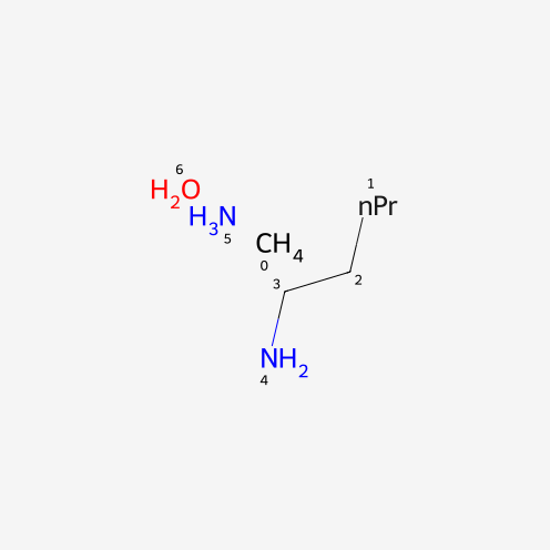 C.CCCCCN.N.O